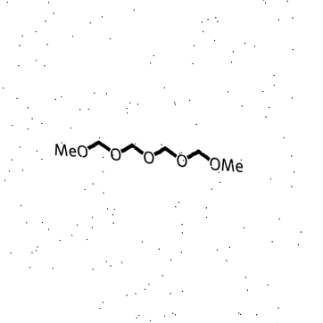 COCOCOCOCOC